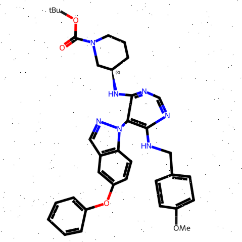 COc1ccc(CNc2ncnc(N[C@@H]3CCCN(C(=O)OC(C)(C)C)C3)c2-n2ncc3cc(Oc4ccccc4)ccc32)cc1